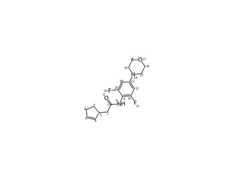 O=C(CC1C=CCC1)Nc1c(F)cc(N2CCOCC2)cc1F